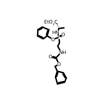 CCOC(=O)[C@H](C)NP(=O)(CCNC(=O)OCc1ccccc1)Oc1ccccc1